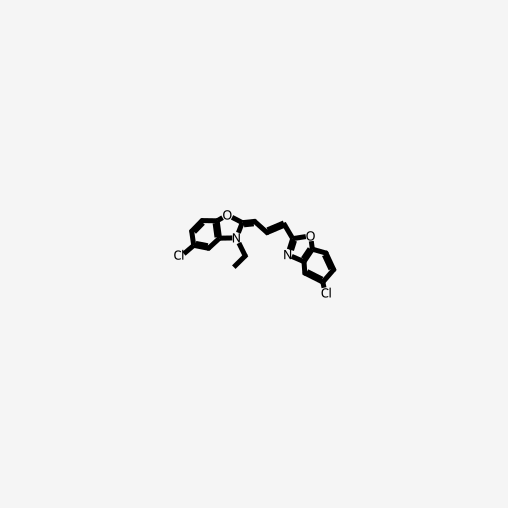 CCN1C(=CC=Cc2nc3cc(Cl)ccc3o2)Oc2ccc(Cl)cc21